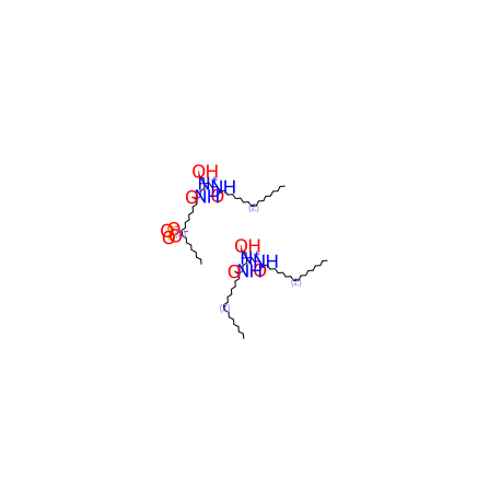 CCCCCCCC/C=C\CCCCCCCC(=O)NCC[N+](C)(CCO)CCNC(=O)CCCCCCC/C=C\CCCCCCCC.CCCCCCCC/C=C\CCCCCCCC(=O)NCC[N+](C)(CCO)CCNC(=O)CCCCCCC/C=C\CCCCCCCC.O=S(=O)([O-])[O-]